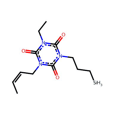 C/C=C\Cn1c(=O)n(CC)c(=O)n(CCC[SiH3])c1=O